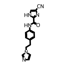 N#Cc1c[nH]c(C(=O)Nc2ccc(CCn3ccnc3)cc2)n1